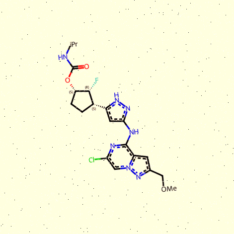 COCc1cc2c(Nc3cc([C@@H]4CC[C@H](OC(=O)NC(C)C)[C@@H]4F)[nH]n3)nc(Cl)cn2n1